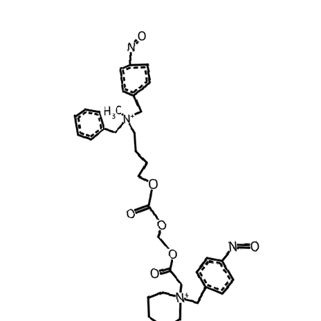 C[N+](CCCCOC(=O)OCOC(=O)C[N+]1(Cc2ccc(N=O)cc2)CCCCC1)(Cc1ccccc1)Cc1ccc(N=O)cc1